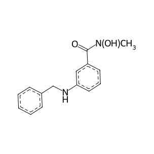 CN(O)C(=O)c1cccc(NCc2ccccc2)c1